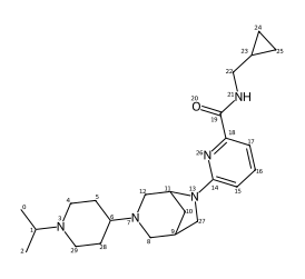 CC(C)N1CCC(N2CC3CC(C2)N(c2cccc(C(=O)NCC4CC4)n2)C3)CC1